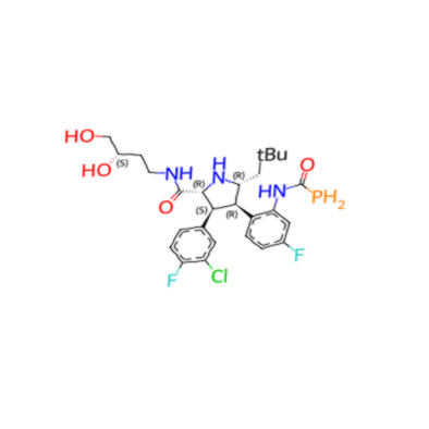 CC(C)(C)C[C@H]1N[C@@H](C(=O)NCC[C@H](O)CO)[C@H](c2ccc(F)c(Cl)c2)[C@@H]1c1ccc(F)cc1NC(=O)P